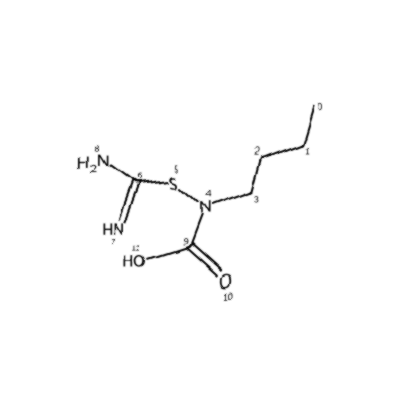 CCCCN(SC(=N)N)C(=O)O